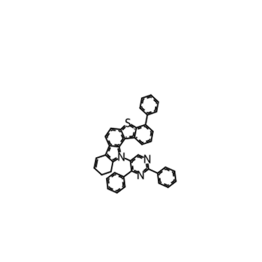 C1=Cc2c(n(-c3cnc(-c4ccccc4)nc3-c3ccccc3)c3c2ccc2sc4c(-c5ccccc5)cccc4c23)CC1